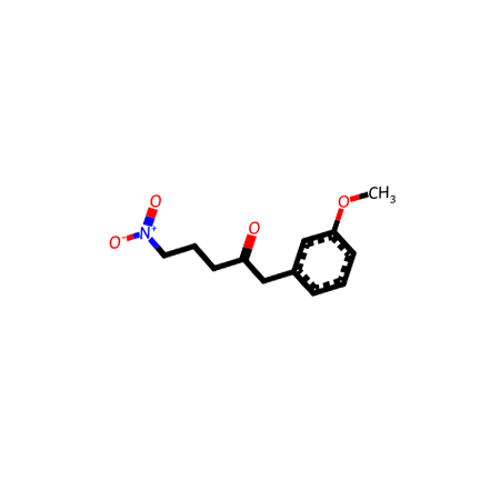 COc1cccc(CC(=O)CCC[N+](=O)[O-])c1